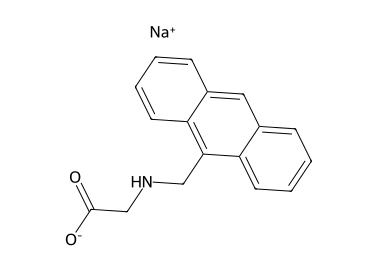 O=C([O-])CNCc1c2ccccc2cc2ccccc12.[Na+]